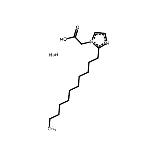 CCCCCCCCCCCc1nccn1CC(=O)O.[NaH]